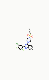 CCCCS(=O)(=O)N1CCN(c2nc(-c3cc(Cl)c(F)cc3F)nc3cc(C)ccc23)CC1